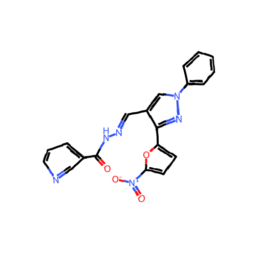 O=C(N/N=C/c1cn(-c2ccccc2)nc1-c1ccc([N+](=O)[O-])o1)c1cccnc1